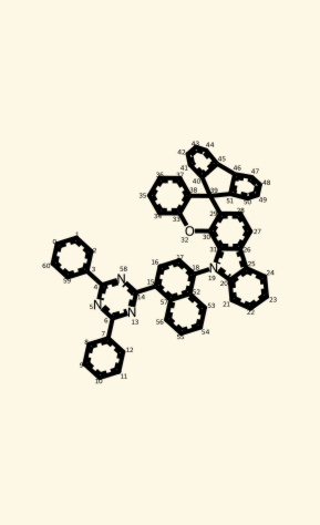 c1ccc(-c2nc(-c3ccccc3)nc(-c3ccc(-n4c5ccccc5c5ccc6c(c54)Oc4ccccc4C64c5ccccc5-c5ccccc54)c4ccccc34)n2)cc1